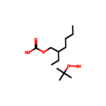 CC(C)(C)OO.CCCCC(CC)COC(=O)O